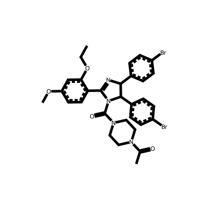 CCOc1cc(OC)ccc1C1=NC(c2ccc(Br)cc2)C(c2ccc(Br)cc2)N1C(=O)N1CCN(C(C)=O)CC1